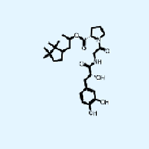 CC(CC1CCC(C)(C)C1(C)C)OC(=O)[C@@H]1CCCN1C(=O)CNC(=O)[C@H](O)Cc1ccc(O)c(O)c1